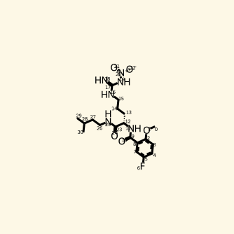 COc1ccc(F)cc1C(=O)N[C@@H](CCCNC(=N)N[N+](=O)[O-])C(=O)NCCC(C)C